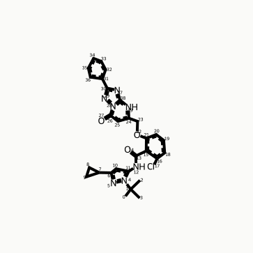 CC(C)(C)n1nc(C2CC2)cc1NC(=O)c1c(Cl)cccc1OCc1cc(=O)n2nc(-c3ccccc3)nc2[nH]1